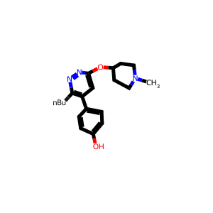 CCCCc1nnc(OC2CCN(C)CC2)cc1-c1ccc(O)cc1